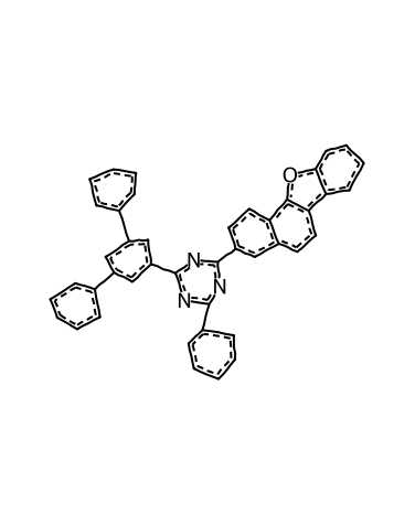 c1ccc(-c2cc(-c3ccccc3)cc(-c3nc(-c4ccccc4)nc(-c4ccc5c(ccc6c7ccccc7oc56)c4)n3)c2)cc1